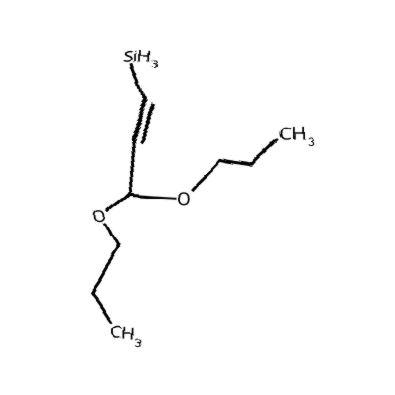 CCCOC(C=C[SiH3])OCCC